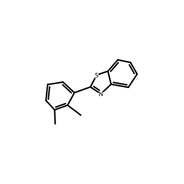 Cc1cccc(-c2nc3ccccc3s2)c1C